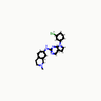 CN1CCc2ccc(Nc3ncc4ccn(-c5cccc(Br)c5)c4n3)cc2C1